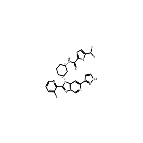 O=C(N[C@H]1CCC[C@@H](n2c(-c3ncccc3F)nc3cnc(-c4cc[nH]n4)cc32)C1)c1ncc(C(F)F)s1